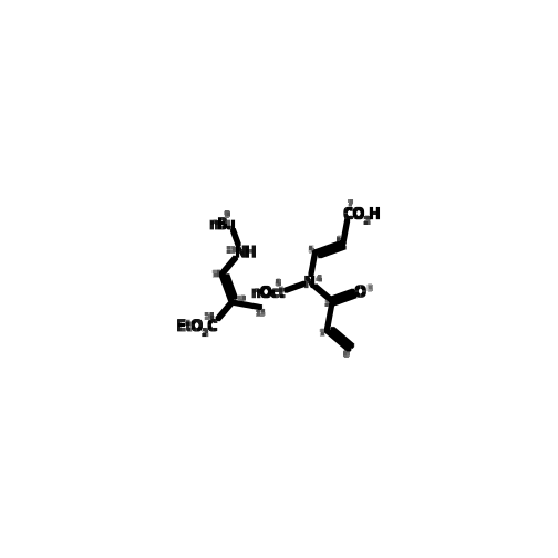 C=CC(=O)N(C=CC(=O)O)CCCCCCCC.CCCCNC=C(C)C(=O)OCC